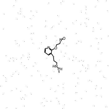 CPNCCCc1cccnc1OCCN=O